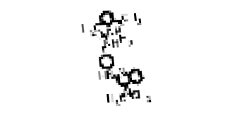 Cc1cccc(C(C)C)c1NC(=O)NC[C@H]1CC[C@@H](Nc2cc(N(C)C)c3ccccc3n2)CC1